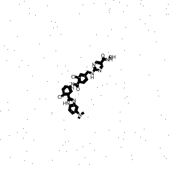 CN(C)c1ccc2[nH]c(-c3cc(NC(=O)c4ccc(CNc5ncc(C(=O)NO)cn5)cc4Cl)ccc3Cl)nc2c1